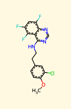 COc1ccc(CCNc2ncnc3c(F)cc(F)c(F)c23)cc1Cl